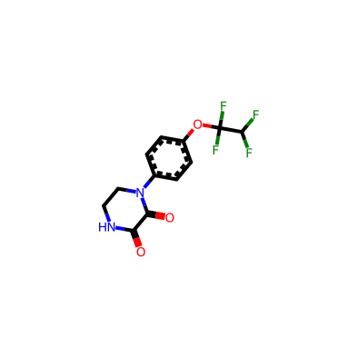 O=C1NCCN(c2ccc(OC(F)(F)C(F)F)cc2)C1=O